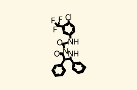 O=C(Nc1ccc(Cl)c(C(F)(F)F)c1)N1NC(c2ccccc2)C(c2ccccc2)C1=O